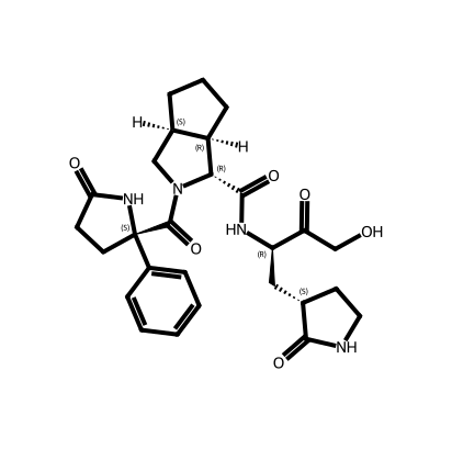 O=C1CC[C@@](C(=O)N2C[C@H]3CCC[C@H]3[C@@H]2C(=O)N[C@H](C[C@@H]2CCNC2=O)C(=O)CO)(c2ccccc2)N1